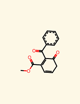 COC(=O)C1=C(C(=O)c2ccccc2)C(=O)CC=C1